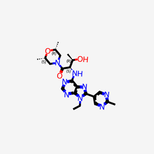 CCn1c(-c2cnc(C)nc2)nc2c(N[C@H](C(=O)N3C[C@@H](C)O[C@@H](C)C3)[C@@H](C)O)ncnc21